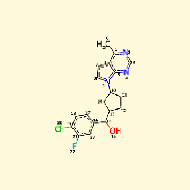 Cc1ncnc2c1ccn2C1CCC(C(O)c2ccc(Cl)c(F)c2)C1